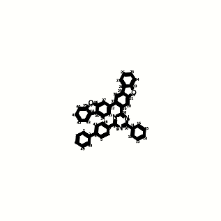 c1ccc(-c2ccc(-c3nc(-c4ccccc4)nc(-c4cc5oc6ccccc6c5cc4-c4ccc5c(c4)oc4ccccc45)n3)cc2)cc1